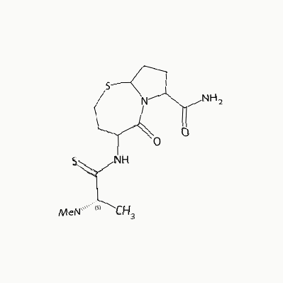 CN[C@@H](C)C(=S)NC1CCSC2CCC(C(N)=O)N2C1=O